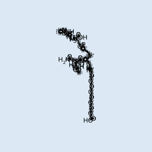 Cc1cc(N(C)c2nc(C(=O)O)c(CCCOc3ccc(C#CC[N+](C)(C)Cc4ccc(NC(=O)[C@H](CCCNC(N)=O)NC(=O)[C@@H](NC(=O)OC(C)(C)C)C(C)C)cc4COCc4cn(CCOCCOCCOCCOCCOCCOCCOCCOCCC(=O)O)nn4)cc3F)s2)nnc1Nc1nc2ccccc2s1